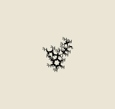 [2H]c1nn(C)c(C([2H])(OC([2H])([2H])C([2H])([2H])N(C)C([2H])([2H])[2H])c2c([2H])c([2H])c([2H])c([2H])c2[2H])c1[2H]